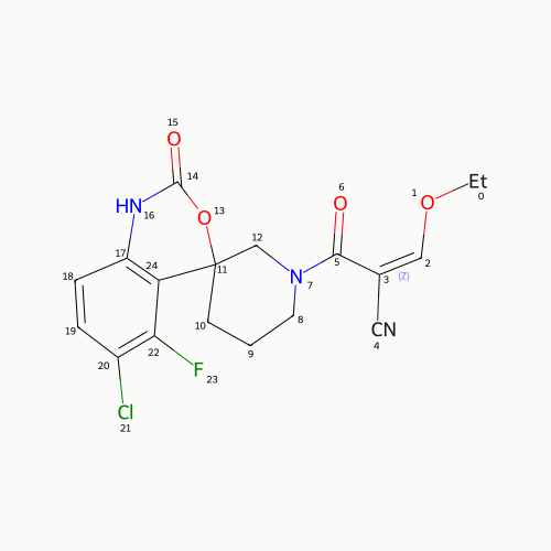 CCO/C=C(/C#N)C(=O)N1CCCC2(C1)OC(=O)Nc1ccc(Cl)c(F)c12